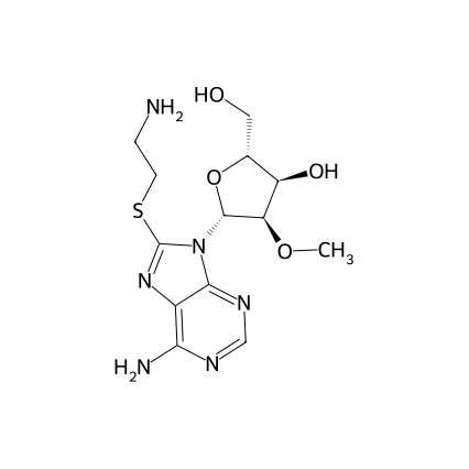 CO[C@@H]1[C@H](O)[C@@H](CO)O[C@H]1n1c(SCCN)nc2c(N)ncnc21